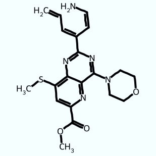 C=C/C=C(\C=C/N)c1nc(N2CCOCC2)c2nc(C(=O)OC)cc(SC)c2n1